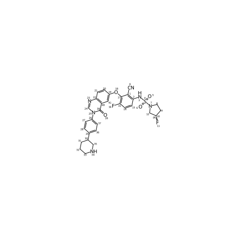 N#Cc1c(NS(=O)(=O)N2CC[C@@H](F)C2)ccc(F)c1Oc1ccc2ncn(-c3ccc(C4CCCNC4)cc3)c(=O)c2c1